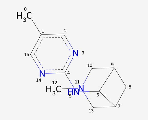 Cc1cnc(NC2C3CC2CN(C)C3)nc1